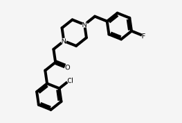 O=C(Cc1ccccc1Cl)CN1CCN(Cc2ccc(F)cc2)CC1